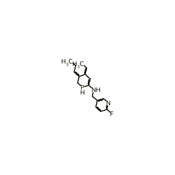 C/C=C1/C=C(NCc2ccc(F)nc2)PC/C1=C/CC